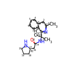 Cc1cc2ccccc2c(C(C)(C)NC(=O)C[C@H]2CCCN2)n1